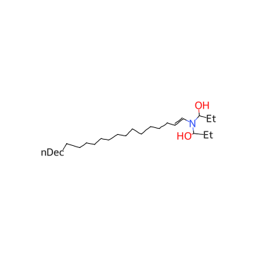 CCCCCCCCCCCCCCCCCCCCCCCC=CN(C(O)CC)C(O)CC